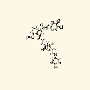 CC(C)Oc1cccc2c(C(=O)NCc3ccc(Cl)c(Cl)c3)cn(CCCN3C[C@@H]4CC[C@H]3CN4CCOc3ccc(F)cc3)c12